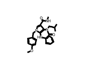 CNC(=O)c1cn(Cc2ccc(OC)cc2)c(Nc2ccccc2)c1N(C=O)CC(C)C